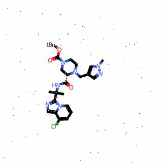 Cn1cc(CN2CCN(C(=O)OC(C)(C)C)C[C@H]2C(=O)NC(C)(C)c2ncc3c(Cl)cccn23)cn1